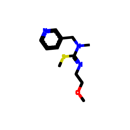 COCCN=C(SC)N(C)Cc1cccnc1